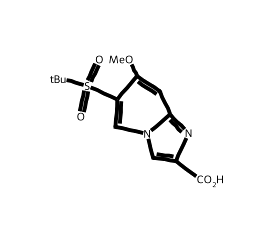 COc1cc2nc(C(=O)O)cn2cc1S(=O)(=O)C(C)(C)C